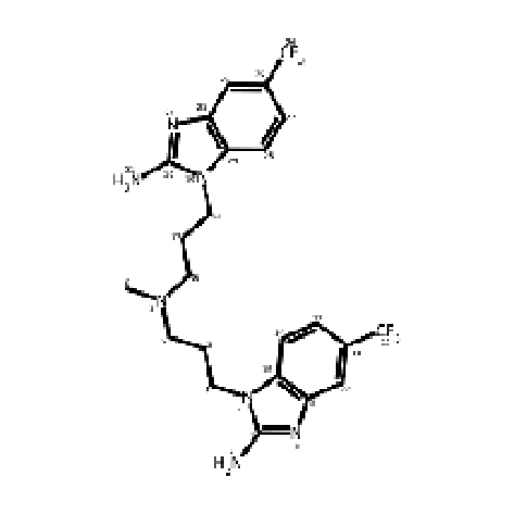 CN(CCCn1c(N)nc2cc(C(F)(F)F)ccc21)CCCn1c(N)nc2cc(C(F)(F)F)ccc21